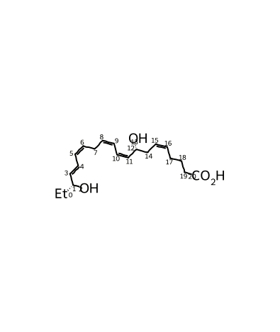 CC[C@@H](O)/C=C/C=C\C/C=C\C=C/[C@H](O)C/C=C\CCCC(=O)O